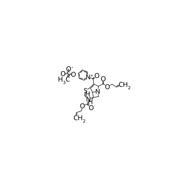 C=CCOC(=O)C1C(C(=O)[n+]2ccccc2)=C2SCN(C(=O)OCC=C)[C@H]3CN1[C@H]23.CS(=O)(=O)[O-]